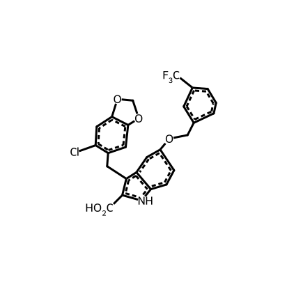 O=C(O)c1[nH]c2ccc(OCc3cccc(C(F)(F)F)c3)cc2c1Cc1cc2c(cc1Cl)OCO2